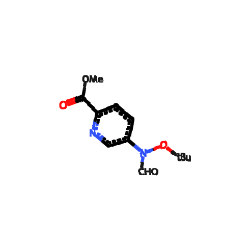 COC(=O)c1ccc(N(C=O)OC(C)(C)C)cn1